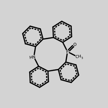 CP1(=O)c2ccccc2-c2ccccc2Nc2ccccc2-c2ccccc21